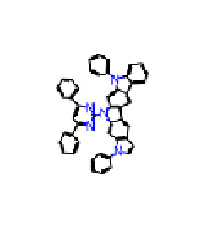 c1ccc(-c2cc(-c3ccccc3)nc(-n3c4cc5c(ccn5-c5ccccc5)cc4c4cc5c6ccccc6n(-c6ccccc6)c5cc43)n2)cc1